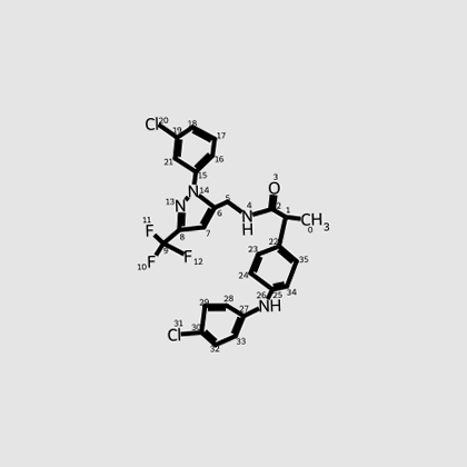 CC(C(=O)NCc1cc(C(F)(F)F)nn1-c1cccc(Cl)c1)c1ccc(Nc2ccc(Cl)cc2)cc1